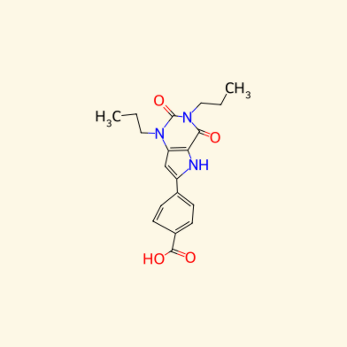 CCCn1c(=O)c2[nH]c(-c3ccc(C(=O)O)cc3)cc2n(CCC)c1=O